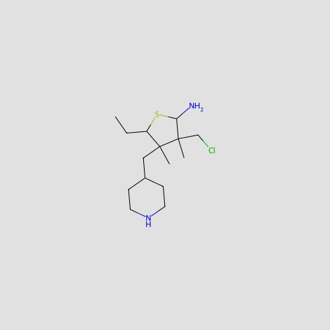 CCC1SC(N)C(C)(CCl)C1(C)CC1CCNCC1